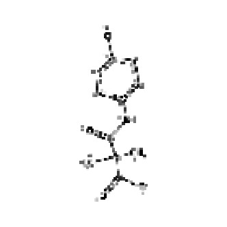 CC(C)C(=O)C(C)(C)C(=O)Nc1ccc(Cl)cc1